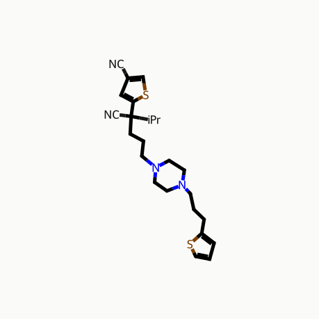 CC(C)C(C#N)(CCCN1CCN(CCCc2cccs2)CC1)c1cc(C#N)cs1